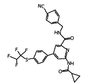 N#Cc1ccc(CNC(=O)c2cc(-c3ccc(SC(F)(F)C(F)F)cc3)cc(NC(=O)C3CC3)n2)cc1